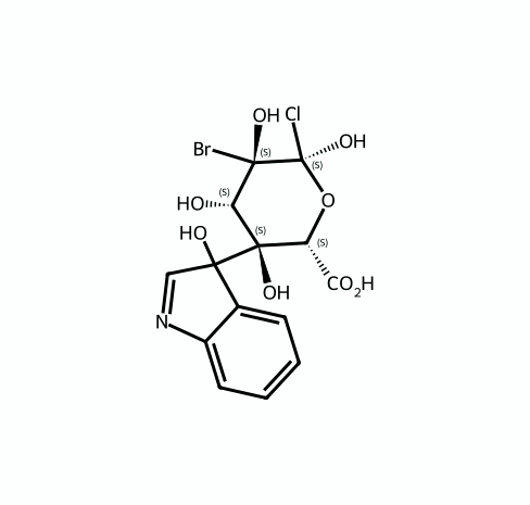 O=C(O)[C@H]1O[C@](O)(Cl)[C@@](O)(Br)[C@@H](O)[C@@]1(O)C1(O)C=Nc2ccccc21